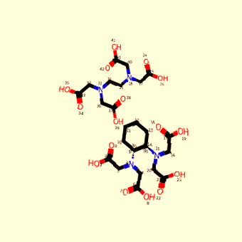 O=C(O)CN(CC(=O)O)[C@@H]1CCCC[C@H]1N(CC(=O)O)CC(=O)O.O=C(O)CN(CCN(CC(=O)O)CC(=O)O)CC(=O)O